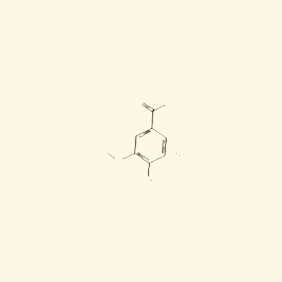 COc1cc(C(=O)[O-])ccc1O.[Na+]